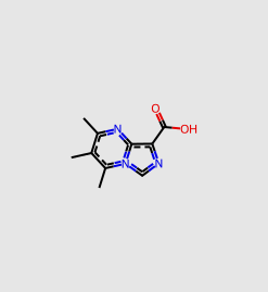 Cc1nc2c(C(=O)O)ncn2c(C)c1C